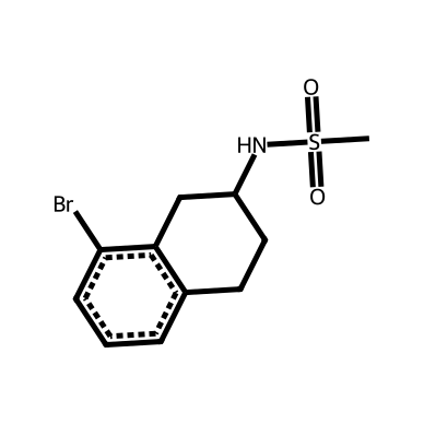 CS(=O)(=O)NC1CCc2cccc(Br)c2C1